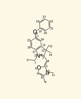 CC[N+]1=C(C=C2OC=C(C)N2C)C(C)(C)c2cc(Oc3ccccc3)ccc21